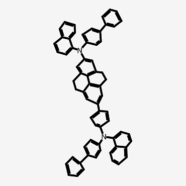 c1ccc(-c2ccc(N(c3ccc(-c4cc5c6c(c4)CCc4cc(N(c7ccc(-c8ccccc8)cc7)c7cccc8ccccc78)cc(c4-6)CC5)cc3)c3cccc4ccccc34)cc2)cc1